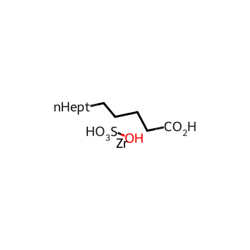 CCCCCCCCCCCC(=O)O.O=S(=O)(O)O.[Zr]